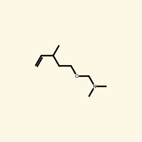 C=CC(C)CCOCN(C)C